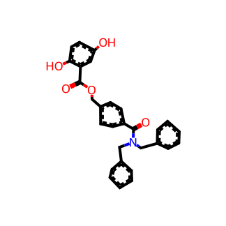 O=C(OCc1ccc(C(=O)N(Cc2ccccc2)Cc2ccccc2)cc1)c1cc(O)ccc1O